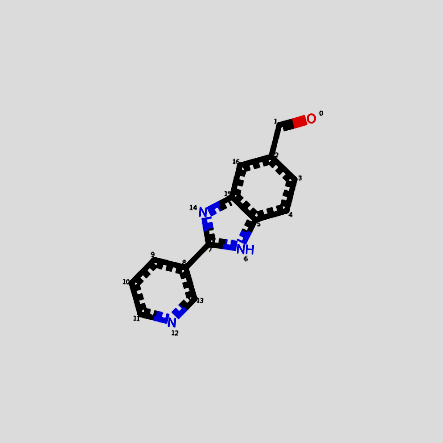 O=Cc1ccc2[nH]c(-c3cccnc3)nc2c1